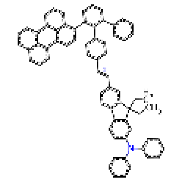 CCC1(CC)c2cc(/C=C/c3ccc(-c4c(-c5ccccc5)cccc4-c4ccc5c6cccc7cccc(c8cccc4c85)c76)cc3)ccc2-c2ccc(N(c3ccccc3)c3ccccc3)cc21